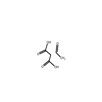 CC=O.O=C(O)CC(=O)O